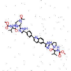 COC(=O)N[C@H](C(=O)N1CCC[C@H]1c1ncc(-c2ccc3nc(-c4ccc(-c5cnc([C@@H]6CN(C(C)=O)CCN6C(=O)[C@@H](NC(=O)OC)C(C)C)[nH]5)cc4)ccc3c2)[nH]1)C(C)C